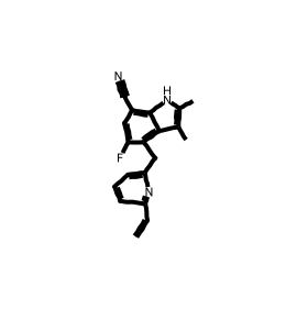 C=Cc1cccc(Cc2c(F)cc(C#N)c3[nH]c(C)c(C)c23)n1